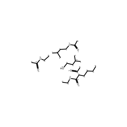 CC(=O)OCCC(C)C.CC(C)CCO.CC=O.CCCCCC(=O)OCC.CCOC(C)=O